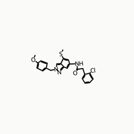 COc1ccc(Cn2cc3c(SC)cc(NC(=O)Cc4ccccc4Cl)cc3n2)cc1